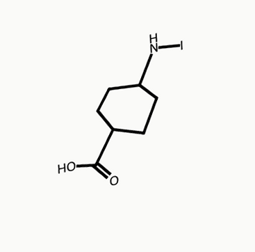 O=C(O)C1CCC(NI)CC1